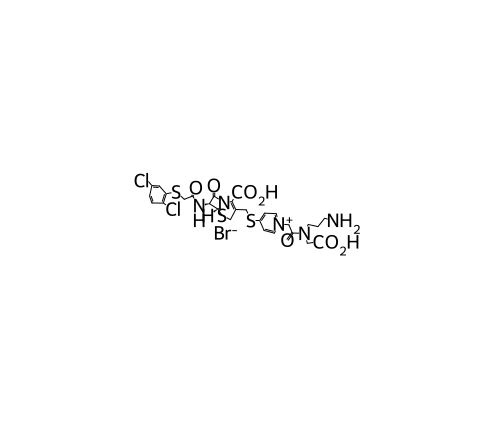 NCCCN(CC(=O)O)C(=O)C[n+]1ccc(SCC2=C(C(=O)O)N3C(=O)[C@H](NC(=O)CSc4cc(Cl)ccc4Cl)[C@H]3SC2)cc1.[Br-]